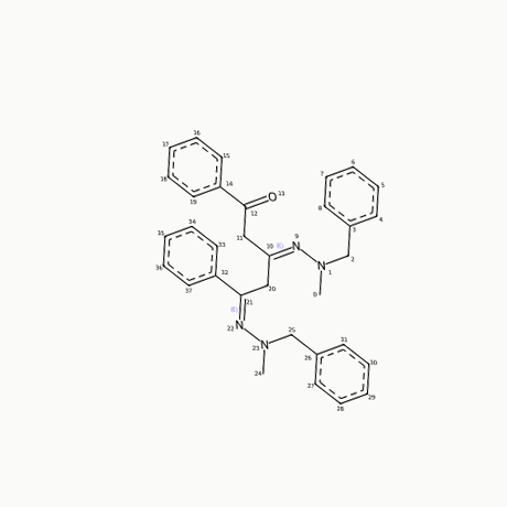 CN(Cc1ccccc1)/N=C(/CC(=O)c1ccccc1)C/C(=N\N(C)Cc1ccccc1)c1ccccc1